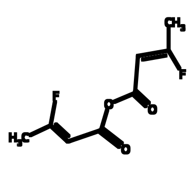 CC(F)=CC(=O)OC(=O)C=C(C)F